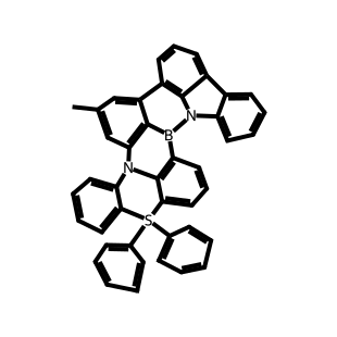 Cc1cc2c3c(c1)N1c4ccccc4S(c4ccccc4)(c4ccccc4)c4cccc(c41)B3n1c3ccccc3c3cccc-2c31